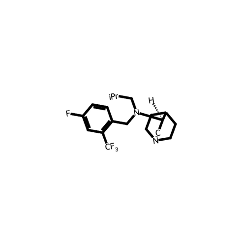 CC(C)CN(Cc1ccc(F)cc1C(F)(F)F)[C@@H]1CN2CCC1CC2